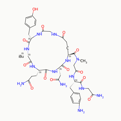 CC[C@H](C)[C@@H]1NC(=O)[C@H](Cc2ccc(O)cc2)NC(=O)CNC(=O)CC[C@@H](C(=O)N(C)CC(=O)N[C@@H](Cc2ccc(N)cc2)C(=O)NCC(N)=O)NC(=O)[C@H](CC(N)=O)NC(=O)[C@H](CCC(N)=O)NC1=O